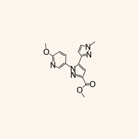 COC(=O)c1cc(-c2ccn(C)n2)n(-c2ccc(OC)nc2)n1